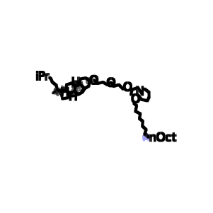 CCCCCCCC/C=C\CCCCCCCCOCC(CN1CCCCCC1)OCCCOCCCO[C@H]1CC[C@@]2(C)C(=CC[C@H]3[C@H]4CC[C@@H]([C@@H](C)CCCC(C)C)[C@@]4(C)CC[C@H]32)C1